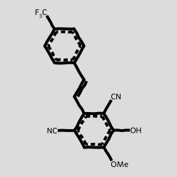 COc1cc(C#N)c(C=Cc2ccc(C(F)(F)F)cc2)c(C#N)c1O